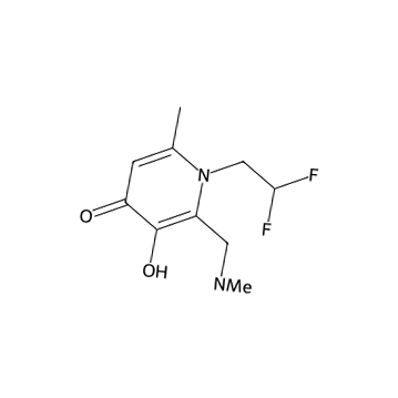 CNCc1c(O)c(=O)cc(C)n1CC(F)F